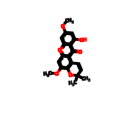 COc1cc(O)c2c(=O)c3c4c(c(OC)cc3oc2c1)OC(C)(C)C=C4